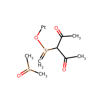 C=S([O][Pt])C(C(C)=O)C(C)=O.CS(C)=O